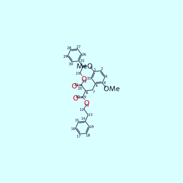 COc1ccc(OC)c(CC(C(=O)OCCc2ccccc2)C(=O)OCCc2ccccc2)c1